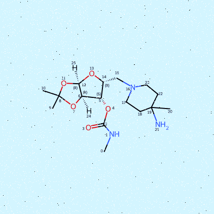 CNC(=O)O[C@@H]1[C@H]2OC(C)(C)O[C@H]2O[C@@H]1CN1CCC(C)(N)CC1